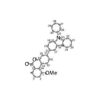 COc1cccc2c(=O)oc3cc(-c4ccc5c(c4)c4ccccc4n5-c4ccccc4)ccc3c12